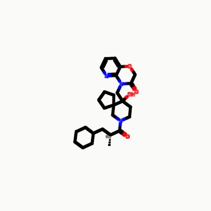 C[C@H](CC1CCCCC1)C(=O)N1CCC(O)(CN2C(=O)COc3cccnc32)C2(CCCC2)C1